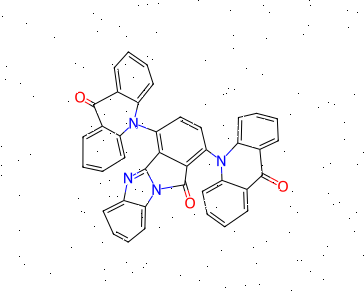 O=C1c2c(-n3c4ccccc4c(=O)c4ccccc43)ccc(-n3c4ccccc4c(=O)c4ccccc43)c2-c2nc3ccccc3n21